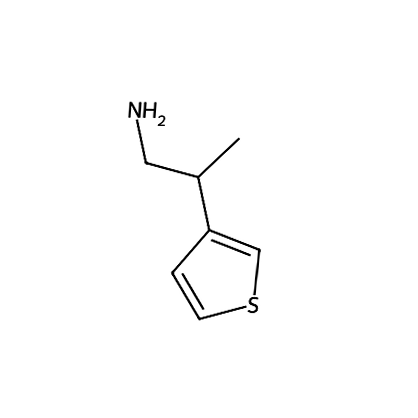 CC(CN)c1ccsc1